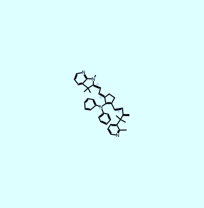 C=C(/C=C/C1=C(N(c2ccccc2)c2ccccc2)C(=C/C=C2/N(C)c3ncccc3C2(C)C)/CC1)C(C)(C)c1cccnc1C